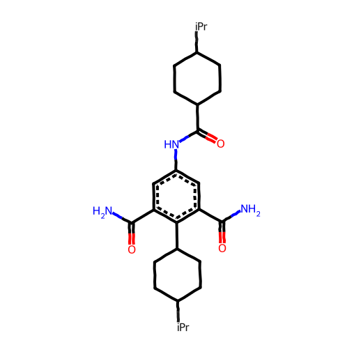 CC(C)C1CCC(C(=O)Nc2cc(C(N)=O)c(C3CCC(C(C)C)CC3)c(C(N)=O)c2)CC1